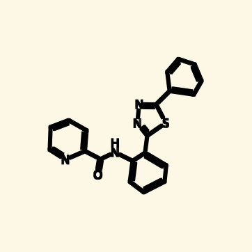 O=C(Nc1ccccc1-c1nnc(-c2ccccc2)s1)c1ccccn1